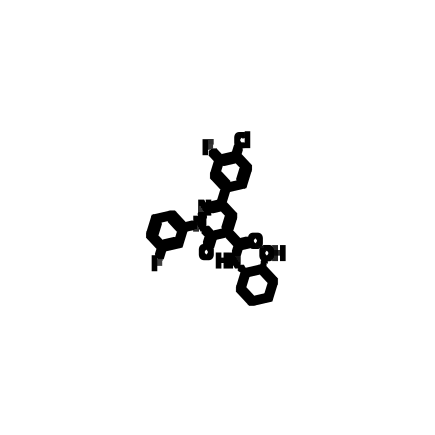 O=C(N[C@H]1CCCC[C@H]1O)c1cc(-c2ccc(Cl)c(F)c2)nn(-c2cccc(F)c2)c1=O